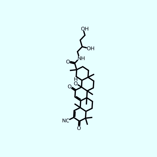 CC1(C(=O)NCC(O)CCO)CCC2(C)CCC3(C)C4(C)CCC5C(C)(C)C(=O)C(C#N)=CC5(C)C4=CC(=O)C3(O)C2C1